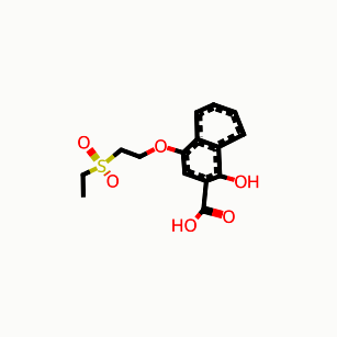 CCS(=O)(=O)CCOc1cc(C(=O)O)c(O)c2ccccc12